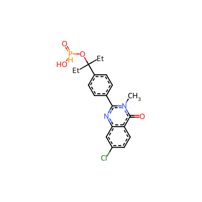 CCC(CC)(O[PH](=O)O)c1ccc(-c2nc3cc(Cl)ccc3c(=O)n2C)cc1